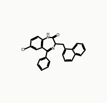 O=C1Nc2ccc(Cl)cc2C(c2ccccc2)=NC1Cc1cccc2ccccc12